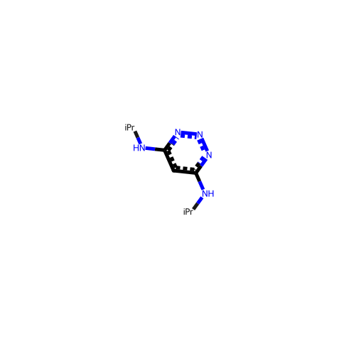 CC(C)Nc1cc(NC(C)C)nnn1